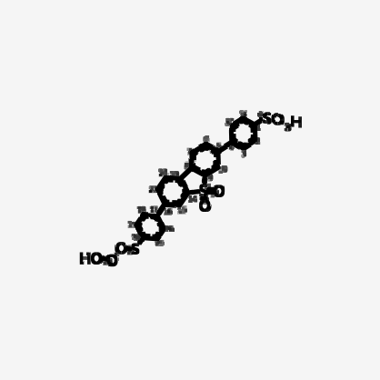 O=S(=O)(O)c1ccc(-c2ccc3c(c2)S(=O)(=O)c2cc(-c4ccc(SOOO)cc4)ccc2-3)cc1